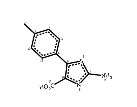 Cc1ccc(-c2sc(N)nc2C(=O)O)cc1